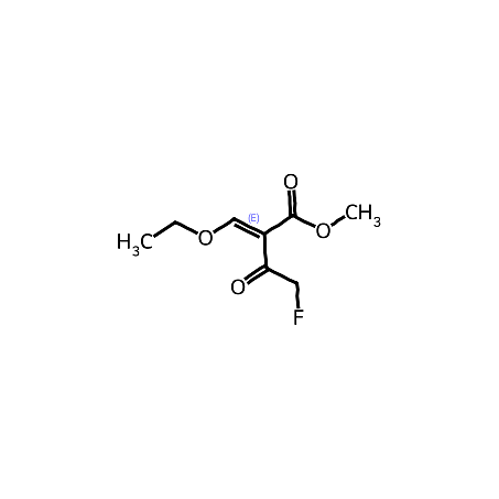 CCO/C=C(\C(=O)CF)C(=O)OC